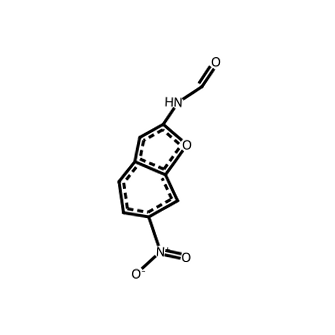 O=CNc1cc2ccc([N+](=O)[O-])cc2o1